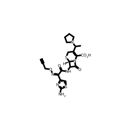 C#CCO/N=C(\C(=O)NC1C(=O)N2C(C(=O)O)=C(C(C)N3CCCC3)CS[C@@H]12)c1csc(N)n1